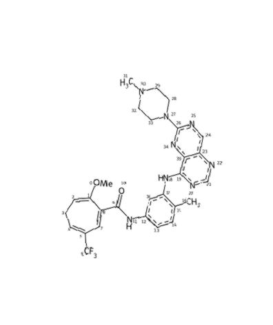 COC1=CCC=C(C(F)(F)F)C=C1C(=O)Nc1ccc(C)c(Nc2ncnc3cnc(N4CCN(C)CC4)nc23)c1